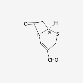 O=CC1=CN2C(=O)C[C@H]2SC1